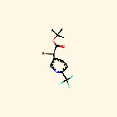 CC(C)(C)OC(=O)C(Br)c1ccc(C(F)(F)F)nc1